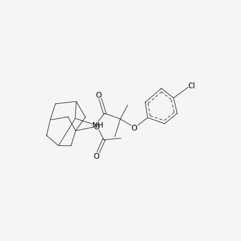 CC(=O)OC12CC3CC(C1)C(NC(=O)C(C)(C)Oc1ccc(Cl)cc1)C(C3)C2